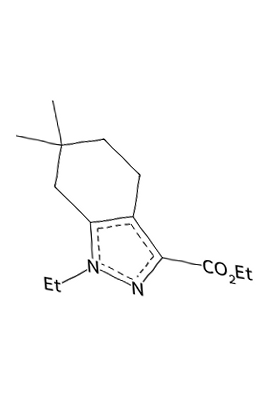 CCOC(=O)c1nn(CC)c2c1CCC(C)(C)C2